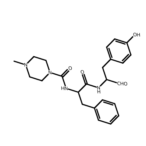 CN1CCN(C(=O)NC(Cc2ccccc2)C(=O)NC(C=O)Cc2ccc(O)cc2)CC1